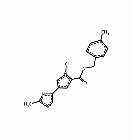 Cc1ccc(CNC(=O)c2cc(-c3csc(C)n3)cn2C)cc1